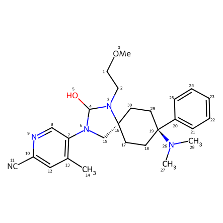 COCCN1C(O)N(c2cnc(C#N)cc2C)C[C@]12CC[C@](c1ccccc1)(N(C)C)CC2